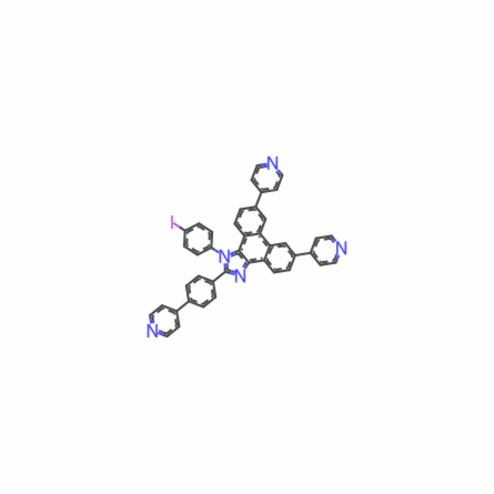 Ic1ccc(-n2c(-c3ccc(-c4ccncc4)cc3)nc3c4ccc(-c5ccncc5)cc4c4cc(-c5ccncc5)ccc4c32)cc1